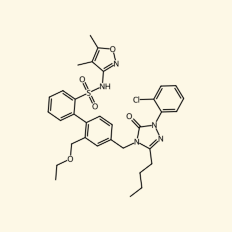 CCCCc1nn(-c2ccccc2Cl)c(=O)n1Cc1ccc(-c2ccccc2S(=O)(=O)Nc2noc(C)c2C)c(COCC)c1